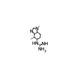 Cc1c(NC(=N)N)ccc2c1ncn2C